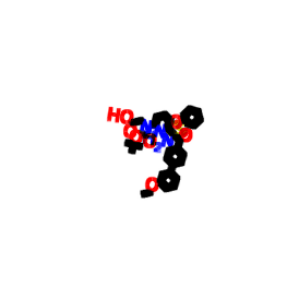 CCOc1cccc(-c2ccc(CC(N)(c3cccc(N(CC(=O)O)C(=O)OC(C)(C)C)n3)S(=O)(=O)c3ccccc3)cc2)c1